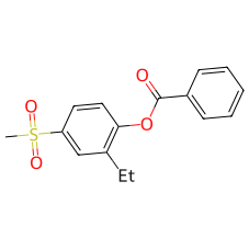 CCc1cc(S(C)(=O)=O)ccc1OC(=O)c1ccccc1